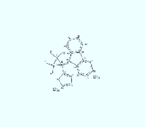 C[C]1(C)[C](C)(C)[Hf+2]1([C]1=CC=CC1)[CH]1c2ccccc2-c2ccccc21.[Cl-].[Cl-]